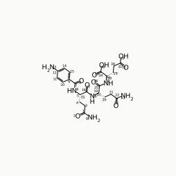 NC(=O)CC[C@H](NC(=O)c1ccc(N)cc1)C(=O)N[C@@H](CCC(N)=O)C(=O)N[C@@H](CCC(=O)O)C(=O)O